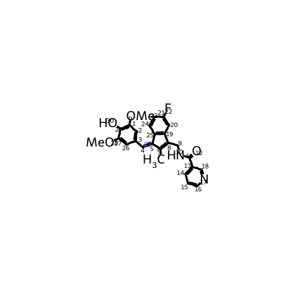 COc1cc(/C=C2/C(C)=C(CNC(=O)c3cccnc3)c3cc(F)ccc32)cc(OC)c1O